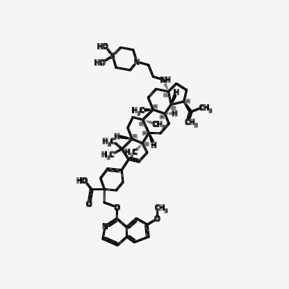 C=C(C)[C@@H]1CC[C@]2(NCCN3CCS(O)(O)CC3)CC[C@]3(C)[C@H](CC[C@@H]4[C@@]5(C)CC=C(C6=CCC(COc7nccc8ccc(OC)cc78)(C(=O)O)CC6)C(C)(C)[C@@H]5CC[C@]43C)[C@@H]12